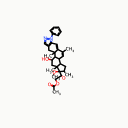 COC1(C(=O)COC(C)=O)C(C)CC2C3C=C(C)C4=Cc5c(cnn5-c5ccccc5)CC4(C)C3C(O)CC21C